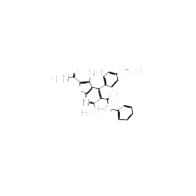 COc1ccc(-c2c(C(=O)Nc3ccccc3)c(C)nc3sc(C(N)=O)c(N)c23)cc1